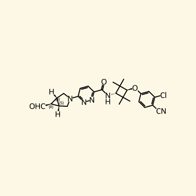 CC1(C)[C@H](NC(=O)c2ccc(N3C[C@@H]4[C@@H](C=O)[C@@H]4C3)nn2)C(C)(C)[C@H]1Oc1ccc(C#N)c(Cl)c1